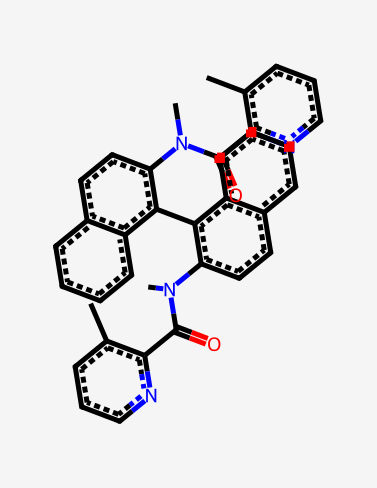 Cc1cccnc1C(=O)N(C)c1ccc2ccccc2c1-c1c(N(C)C(=O)c2ncccc2C)ccc2ccccc12